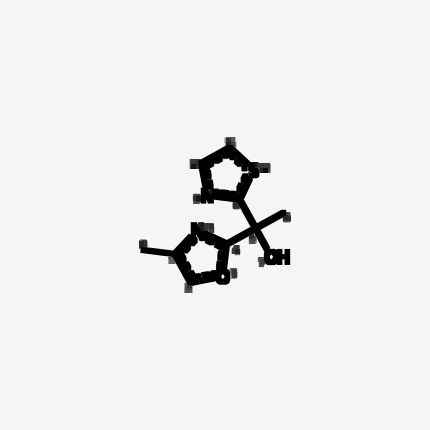 Cc1coc(C(C)(O)c2nccs2)n1